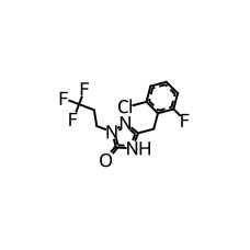 O=c1[nH]c(Cc2c(F)cccc2Cl)nn1CCC(F)(F)F